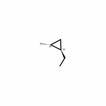 CC[C@@H]1C[C@H]1C